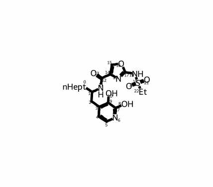 CCCCCCCC(Cc1ccnc(O)c1O)NC(=O)c1coc(NS(=O)(=O)CC)n1